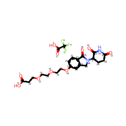 O=C(O)C(F)(F)F.O=C(O)CCOCCOCCOc1ccc2c(c1)CN(C1CCC(=O)NC1=O)C2=O